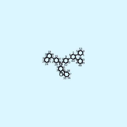 c1ccc(-c2ccc(-c3ccc(N(c4ccc(-c5cccc6ccccc56)cc4)c4ccc5oc6ccccc6c5c4)cc3)cc2-c2ccccc2)cc1